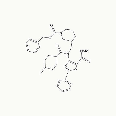 COC(=O)c1sc(-c2ccccc2)cc1N(CC1CCCN(C(=O)OCc2ccccc2)C1)C(=O)C1CCC(C)CC1